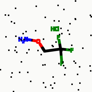 Cl.NOCC(F)(F)F